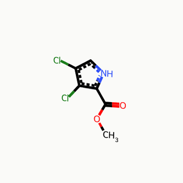 COC(=O)c1[nH]cc(Cl)c1Cl